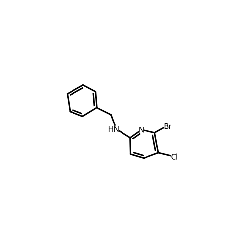 Clc1ccc(NCc2ccccc2)nc1Br